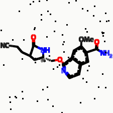 COc1cc2c(OC[C@@H]3CC(CCC#N)C(=O)N3)nccc2cc1C(N)=O